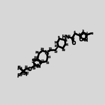 Cc1cc(CC(=O)N[C@H]2CC[C@H](CCN3CCc4nc(OCC(F)(F)F)sc4CC3)CC2)on1